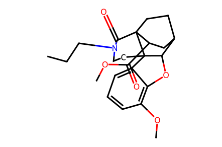 CCCN1CCC23c4cccc(OC)c4OC2C2CCC3(C1=O)C(C(=O)OC)C2